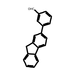 O=Cc1cccc(-c2ccc3c(c2)Cc2ccccc2-3)c1